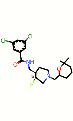 CC1(C)CCCC(CN2CC[C@H](CNC(=O)c3cc(Cl)cc(Cl)c3)[C@H](F)C2)O1